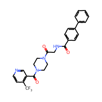 O=C(NCC(=O)N1CCN(C(=O)c2cnccc2C(F)(F)F)CC1)c1ccc(-c2ccccc2)cc1